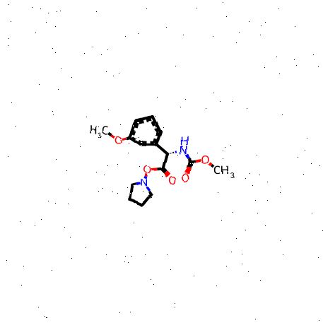 COC(=O)N[C@H](C(=O)ON1CCCC1)c1cccc(OC)c1